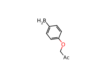 Bc1ccc(OCC(C)=O)cc1